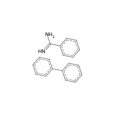 N=C(N)c1ccccc1.c1ccc(-c2ccccc2)cc1